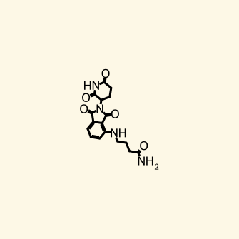 NC(=O)CCCNc1cccc2c1C(=O)N(C1CCC(=O)NC1=O)C2=O